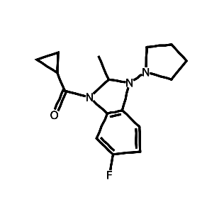 CC1N(C(=O)C2CC2)c2cc(F)ccc2N1N1CCCC1